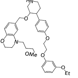 CCOc1cccc(OCCOc2ccc(C3CCNCC3OCc3ccc4c(c3)N(CCCOC)CCO4)cc2)c1